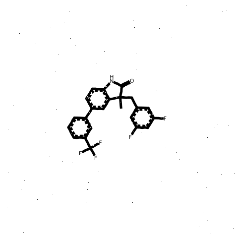 CC1(Cc2cc(F)cc(F)c2)C(=O)Nc2ccc(-c3cccc(C(F)(F)F)c3)cc21